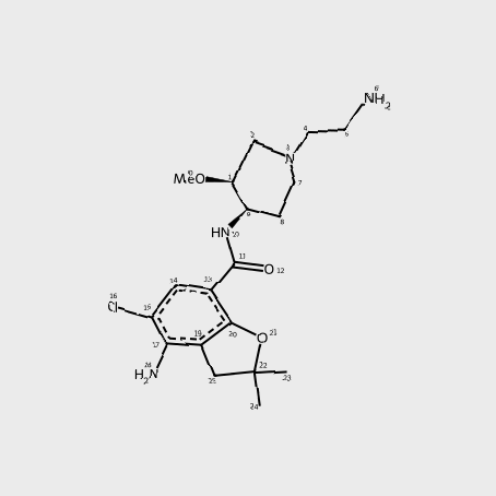 CO[C@H]1CN(CCN)CC[C@H]1NC(=O)c1cc(Cl)c(N)c2c1OC(C)(C)C2